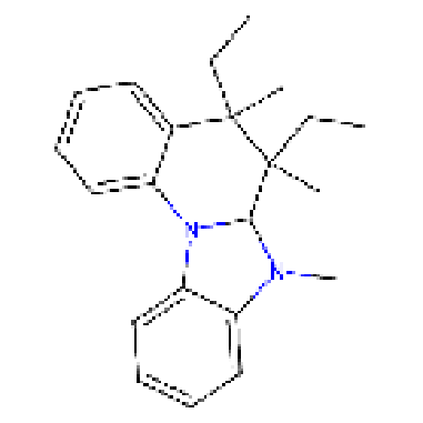 CCC1(C)c2ccccc2N2c3ccccc3N(C)C2C1(C)CC